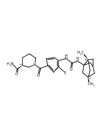 C[C@@]12CC3CC(NC(=O)Nc4ccc(C(=O)N5CCC[C@H](C(N)=O)C5)cc4F)(C1)[C@](C)(C3)C2